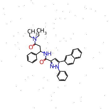 CCN(CC)C(=O)CC(NC(=O)c1cc(-c2ccc3ccccc3c2)n(-c2ccccc2)n1)c1ccccc1